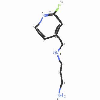 NCCCNCc1ccnc(F)c1